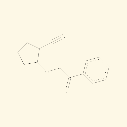 N#CC1CCCC1OCC(=O)c1ccccc1